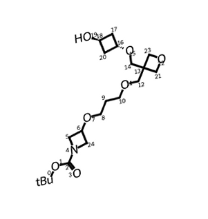 CC(C)(C)OC(=O)N1CC(OCCCOCC2(CO[C@H]3C[C@H](O)C3)COC2)C1